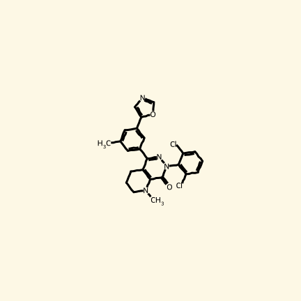 Cc1cc(-c2cnco2)cc(-c2nn(-c3c(Cl)cccc3Cl)c(=O)c3c2CCCN3C)c1